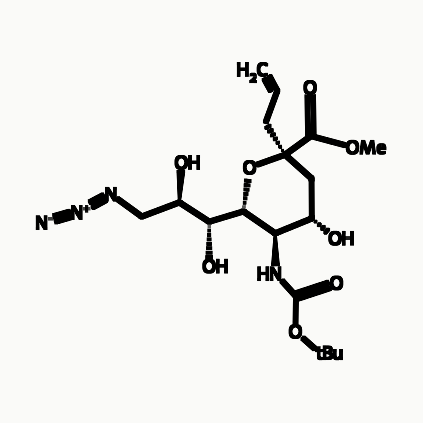 C=CC[C@]1(C(=O)OC)C[C@H](O)[C@@H](NC(=O)OC(C)(C)C)[C@H]([C@H](O)[C@H](O)CN=[N+]=[N-])O1